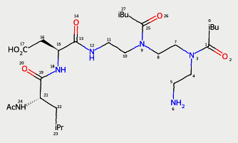 CCC(C)C(=O)N(CCN)CCN(CCNC(=O)[C@H](CC(=O)O)NC(=O)[C@H](CC(C)C)NC(C)=O)C(=O)C(C)CC